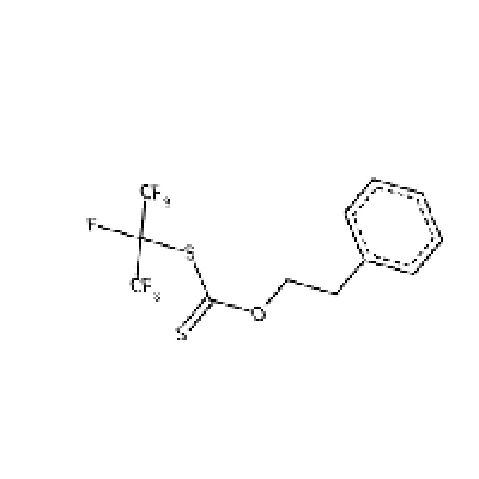 FC(F)(F)C(F)(SC(=S)OCCc1ccccc1)C(F)(F)F